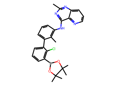 Cc1nc(Nc2cccc(-c3cccc(B4OC(C)(C)C(C)(C)O4)c3Cl)c2C)c2ncccc2n1